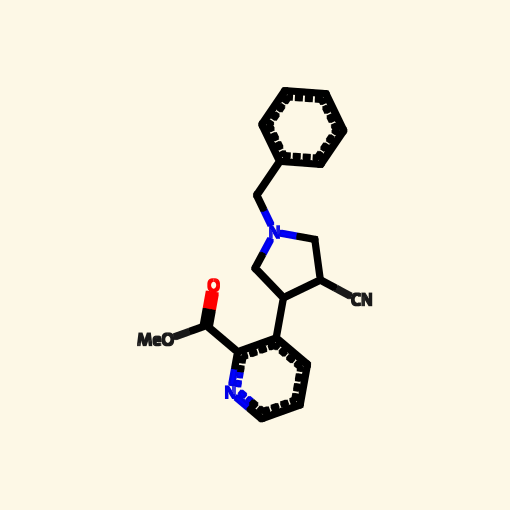 COC(=O)c1ncccc1C1CN(Cc2ccccc2)CC1C#N